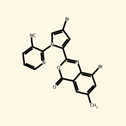 [C-]#[N+]c1cccnc1-n1cc(Br)cc1-c1nc2c(Br)cc(C)cc2c(=O)o1